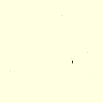 Cc1ccc(C(=O)O[C@@H](C(=O)O)[C@@H](OC(O)c2ccc(C)cc2)C(=O)O)cc1